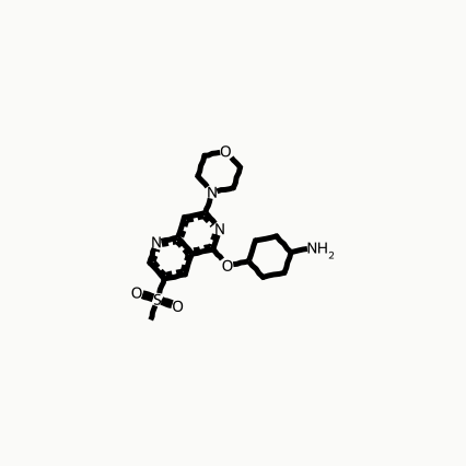 CS(=O)(=O)c1cnc2cc(N3CCOCC3)nc(OC3CCC(N)CC3)c2c1